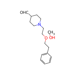 CO.O=CC1CCN(CCOCCc2ccccc2)CC1